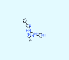 c1ccc(-c2ccc(CNc3cc(NCC4CCNCC4)nc4c(C5CC5)cnn34)nc2)cc1